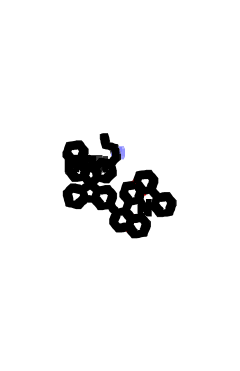 C=C/C=C\c1ccc(C2(c3ccc4ccccc4c3CC)c3ccccc3-c3cc(-c4ccccc4-c4ccccc4N(c4ccccc4)c4ccccc4-c4ccccc4)ccc32)c(O)c1